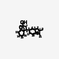 Cc1cc2cc(C(CC(=O)O)c3ccccc3)ccc2n1C